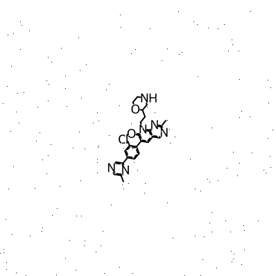 Cc1cncc(-c2ccc(-c3cc4cnc(C)nc4n(CCC4CNCCO4)c3=O)c(Cl)c2)n1